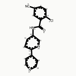 N#Cc1ccc(Cl)c(C(=O)Nc2ccc(-c3ccncc3)nc2)c1